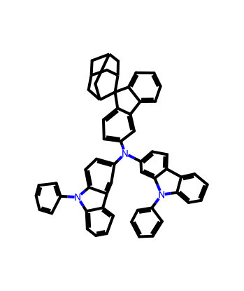 c1ccc(-n2c3ccccc3c3cc(N(c4ccc5c(c4)-c4ccccc4C54C5CC6CC(C5)CC4C6)c4ccc5c6ccccc6n(-c6ccccc6)c5c4)ccc32)cc1